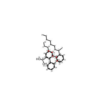 CCCCCCCC(C)c1ccccc1-c1cccc(P(O)O)c1-c1ccccc1C(C)CCCCCCC